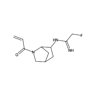 C=CC(=O)N1CC2CC(NC(=N)CF)C1C2